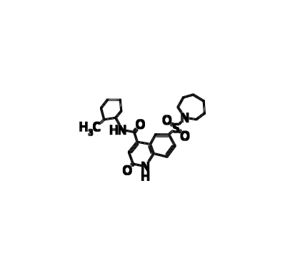 CC1CCCCC1NC(=O)c1cc(=O)[nH]c2ccc(S(=O)(=O)N3CCCCCC3)cc12